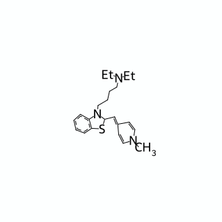 CCN(CC)CCCCN1c2ccccc2SC1C=C1C=CN(C)C=C1